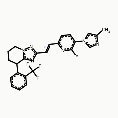 Cc1cn(-c2ccc(/C=C/c3nc4n(n3)CCCC4c3ccccc3C(F)(F)F)nc2F)cn1